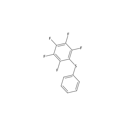 Fc1c(F)c(F)c(Sc2ccccc2)c(F)c1F